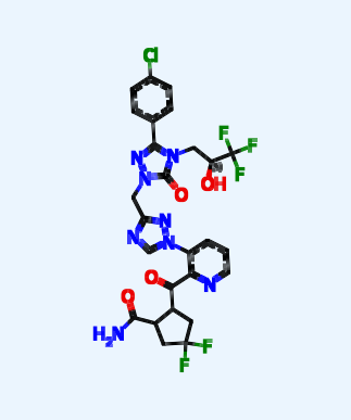 NC(=O)C1CC(F)(F)CC1C(=O)c1ncccc1-n1cnc(Cn2nc(-c3ccc(Cl)cc3)n(C[C@H](O)C(F)(F)F)c2=O)n1